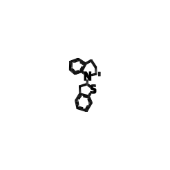 [C]1CCc2ccccc2N1C1Cc2ccccc2S1